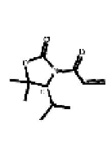 C=CC(=O)N1C(=O)OC(C)(C)[C@@H]1C(C)C